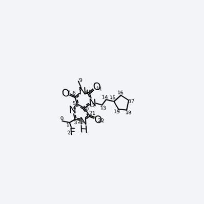 CC(F)c1nc2c(=O)n(C)c(=O)n(CCC3CCCC3)c2c(=O)[nH]1